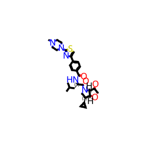 CC(C)C[C@H](NC(=O)c1ccc(-c2csc(N3CCN(C)CC3)n2)cc1)C(=O)N1C[C@H](C2CC2)[C@H]2OCC(=O)[C@H]21